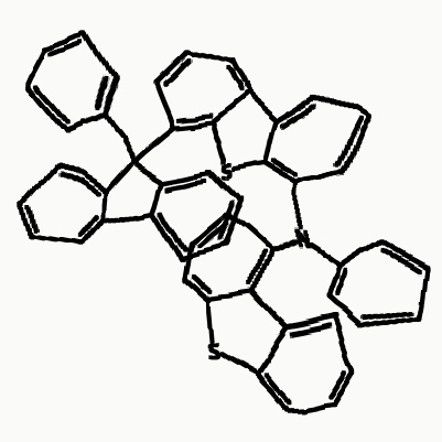 c1ccc(N(c2cccc3c2sc2c(C4(c5ccccc5)c5ccccc5-c5ccccc54)cccc23)c2cccc3sc4ccccc4c23)cc1